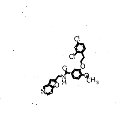 COc1ccc(C(=O)NCc2cc3cnccc3o2)cc1OCCc1ccc(Cl)cc1Cl